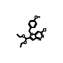 CCOC(OCC)c1cc2nnc(Cl)cc2n1Cc1ccc(OC)cc1